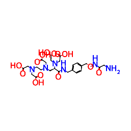 NCC(=O)NOCc1ccc(CNC(=O)[C@@H](CN(CCN(CC(=O)O)CC(=O)O)CC(=O)O)N(CC(=O)O)CC(=O)O)cc1